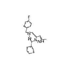 CC1=CC2=CN(Cc3ccc(F)cc3)N=C(c3ccccc3)N2N1